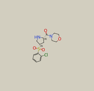 O=C([C@@H]1C[C@H](S(=O)(=O)c2ccccc2Cl)CN1)N1CCOCC1